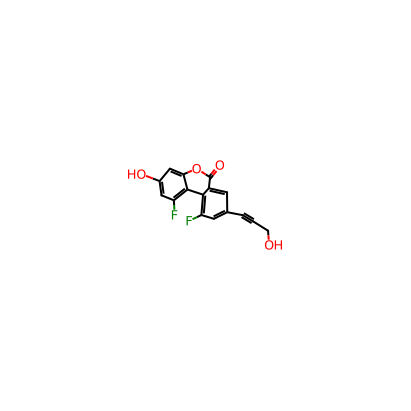 O=c1oc2cc(O)cc(F)c2c2c(F)cc(C#CCO)cc12